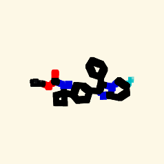 CC(C)(C)OC(=O)NC1(c2ccc(-c3nc4ccc(F)cn4c3-c3ccccc3)cc2)CCC1